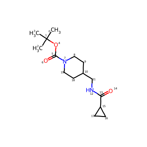 CC(C)(C)OC(=O)N1CCC(CNC(=O)C2CC2)CC1